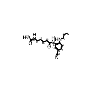 CCCNc1ccc(C#N)cc1NC(=O)CCCCNC(=O)O